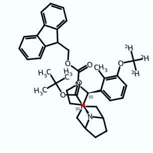 [2H]C([2H])([2H])Oc1cccc([C@H]2[C@@H](N3C4CCC3CN(C(=O)OC(C)(C)C)C4)CCN2C(=O)OCC2c3ccccc3-c3ccccc32)c1C